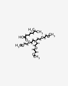 CC(C)CCCCC(=O)O.COCCOCCN(CCOCCOC)CCOCCOC